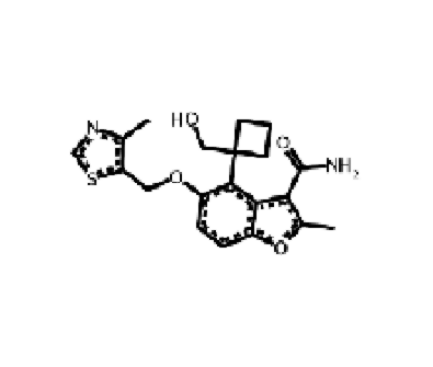 Cc1ncsc1COc1ccc2oc(C)c(C(N)=O)c2c1C1(CO)CCC1